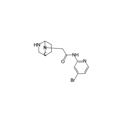 O=C(CN1CC2CCC(C1)NC2)Nc1cc(Br)ccn1